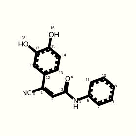 N#CC(=CC(=O)Nc1ccccc1)c1ccc(O)c(O)c1